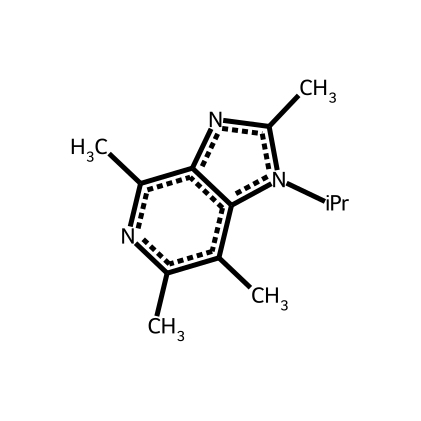 Cc1nc(C)c2nc(C)n(C(C)C)c2c1C